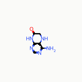 Nc1ncnc2c1NCC(=O)N2